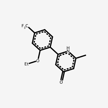 CCOc1cc(C(F)(F)F)ccc1-c1cc(=O)cc(C)[nH]1